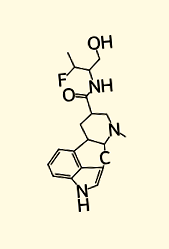 CC(F)C(CO)NC(=O)C1CC2c3cccc4[nH]cc(c34)CC2N(C)C1